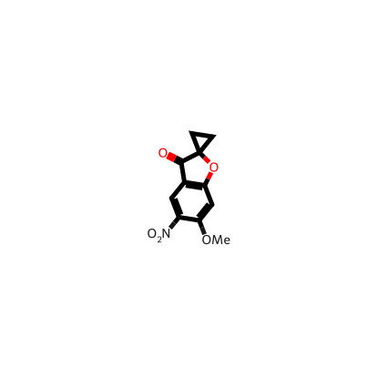 COc1cc2c(cc1[N+](=O)[O-])C(=O)C1(CC1)O2